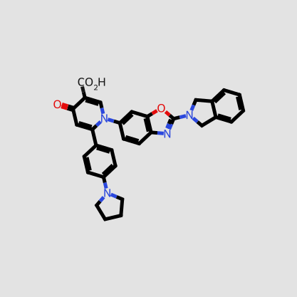 O=C(O)c1cn(-c2ccc3nc(N4Cc5ccccc5C4)oc3c2)c(-c2ccc(N3CCCC3)cc2)cc1=O